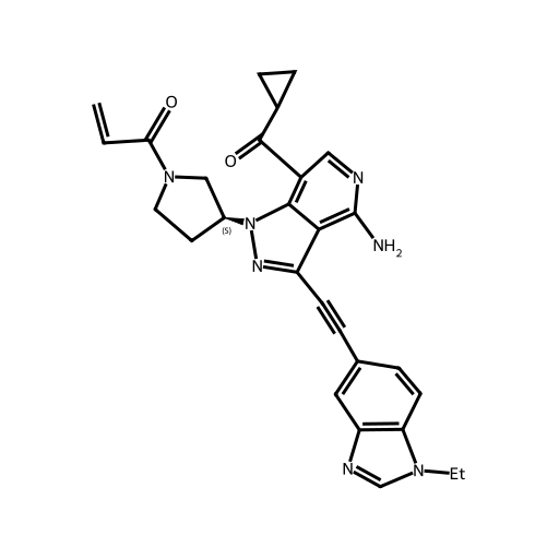 C=CC(=O)N1CC[C@H](n2nc(C#Cc3ccc4c(c3)ncn4CC)c3c(N)ncc(C(=O)C4CC4)c32)C1